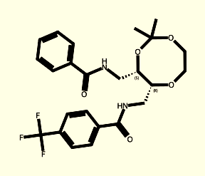 CC1(C)OCCO[C@H](CNC(=O)c2ccc(C(F)(F)F)cc2)[C@H](CNC(=O)c2ccccc2)O1